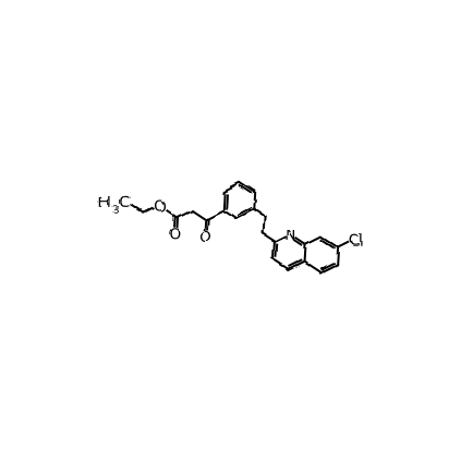 CCOC(=O)CC(=O)c1cccc(CCc2ccc3ccc(Cl)cc3n2)c1